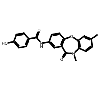 Cc1ccc2c(c1)Oc1ccc(NC(=O)c3ccc(O)cc3)cc1C(=O)N2C